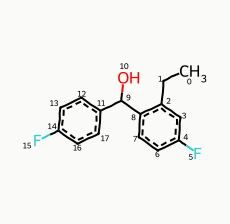 CCc1cc(F)ccc1C(O)c1ccc(F)cc1